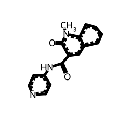 Cn1c(=O)c(C(=O)Nc2ccncc2)cc2ccccc21